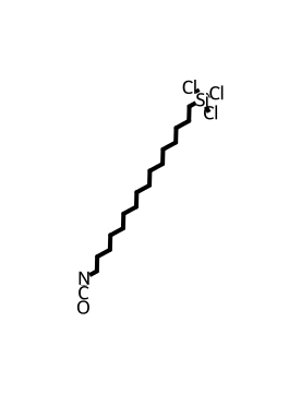 O=C=NCCCCCCCCCCCCCCCC[Si](Cl)(Cl)Cl